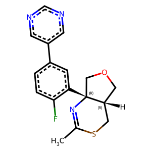 CC1=N[C@]2(c3cc(-c4cncnc4)ccc3F)COC[C@@H]2CS1